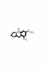 COc1cc(C)c(CC2=NCCN2)c(C)c1